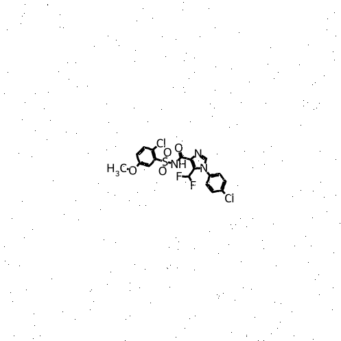 COc1ccc(Cl)c(S(=O)(=O)NC(=O)c2ncn(-c3ccc(Cl)cc3)c2C(F)F)c1